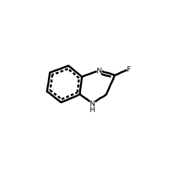 FC1=Nc2ccccc2NC1